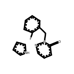 O=c1cccnn1Cc1ccccc1F.c1cc[nH]c1